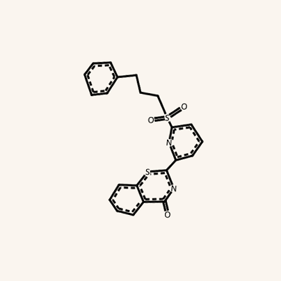 O=c1nc(-c2cccc(S(=O)(=O)CCCc3ccccc3)n2)sc2ccccc12